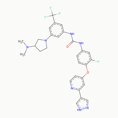 CN(C)C1CCN(c2cc(NC(=O)Nc3ccc(Oc4ccnc(-c5cn[nH]c5)c4)c(F)c3)cc(C(F)(F)F)c2)C1